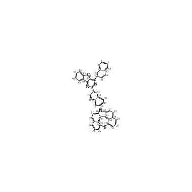 c1ccc2cc(-c3nc(-c4ccc5cc(-n6c7ccc8cccc9sc%10cccc%11ccc6c(c%11%10)c7c89)ccc5c4)nc4c3oc3ccccc34)ccc2c1